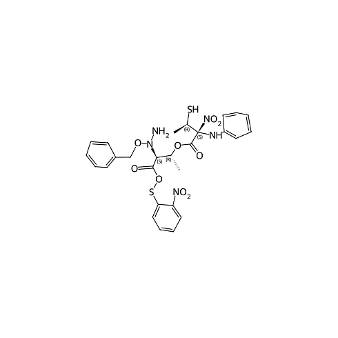 C[C@@H](OC(=O)[C@@](Nc1ccccc1)([C@@H](C)S)[N+](=O)[O-])[C@@H](C(=O)OSc1ccccc1[N+](=O)[O-])N(N)OCc1ccccc1